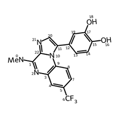 CNc1nc2cc(C(F)(F)F)ccc2n2c(-c3ccc(O)c(O)c3)cnc12